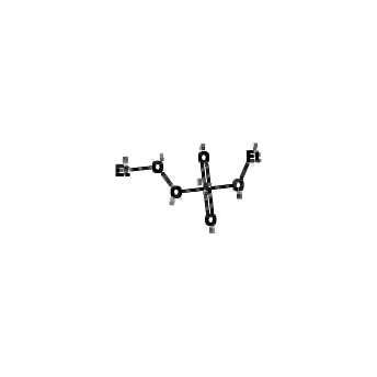 [CH2]COOS(=O)(=O)OCC